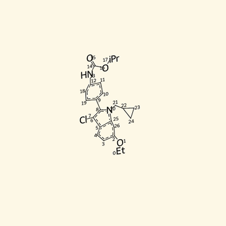 CCOc1ccc2c(Cl)c(-c3ccc(NC(=O)OC(C)C)cc3)n(CC3CC3)c2c1